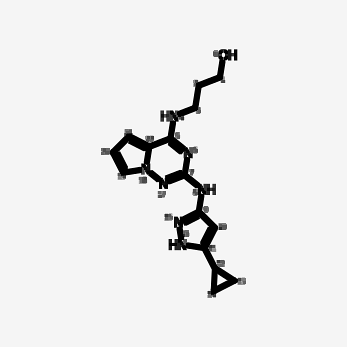 OCCCNc1nc(Nc2cc(C3CC3)[nH]n2)nn2cccc12